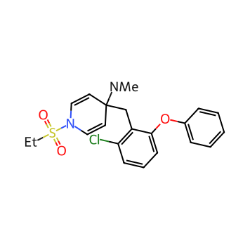 CCS(=O)(=O)N1C=CC(Cc2c(Cl)cccc2Oc2ccccc2)(NC)C=C1